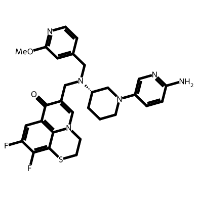 COc1cc(CN(Cc2cn3c4c(c(F)c(F)cc4c2=O)SCC3)[C@H]2CCCN(c3ccc(N)nc3)C2)ccn1